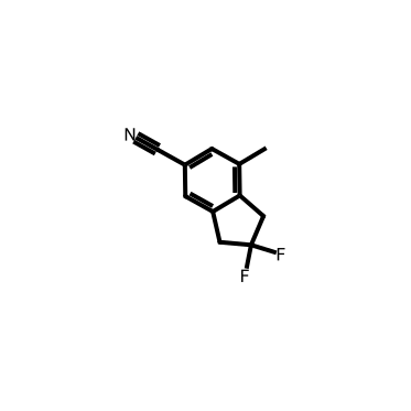 Cc1cc(C#N)cc2c1CC(F)(F)C2